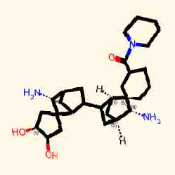 N[C@@H]1C2CC(C3C[C@H]4C[C@@H]3[C@@]3(CCCC(C(=O)N5CCCCC5)C3)[C@@H]4N)C(C2)C12CC(O)[C@@H](O)C2